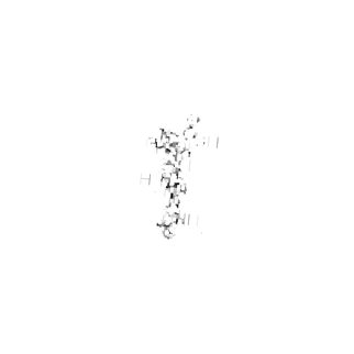 COc1cc(O)cc(C2=CN(C)C(=C=O)C(C(=O)Nc3cccc(Sc4ncc(N5CCC6(CC5)Cc5ncsc5[C@H]6N)nc4N)c3Cl)=C2O)c1